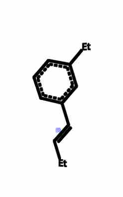 CC/C=C/c1cccc(CC)c1